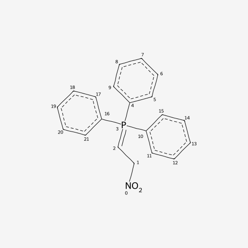 O=[N+]([O-])CC=P(c1ccccc1)(c1ccccc1)c1ccccc1